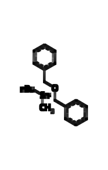 CCC[CH2][Sn][CH3].c1ccc(COCc2ccccc2)cc1